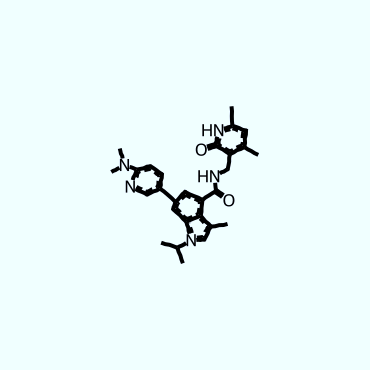 Cc1cc(C)c(CNC(=O)c2cc(-c3ccc(N(C)C)nc3)cc3c2c(C)cn3C(C)C)c(=O)[nH]1